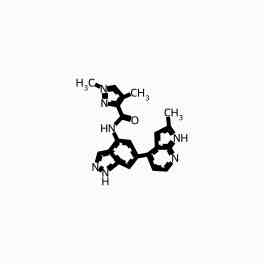 Cc1cc2c(-c3cc(NC(=O)c4nn(C)cc4C)c4cn[nH]c4c3)ccnc2[nH]1